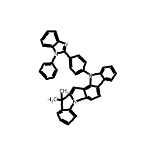 CC1(C)c2ccccc2-n2c1cc1c2ccc2c3ccccc3n(-c3ccc(-c4nc5ccccc5n4-c4ccccc4)cc3)c21